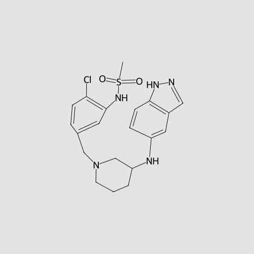 CS(=O)(=O)Nc1cc(CN2CCCC(Nc3ccc4[nH]ncc4c3)C2)ccc1Cl